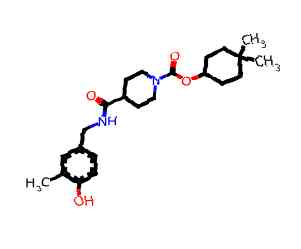 Cc1cc(CNC(=O)C2CCN(C(=O)OC3CCC(C)(C)CC3)CC2)ccc1O